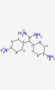 NC1CCC(CC2CCC(N)CC2)CC1.NCN